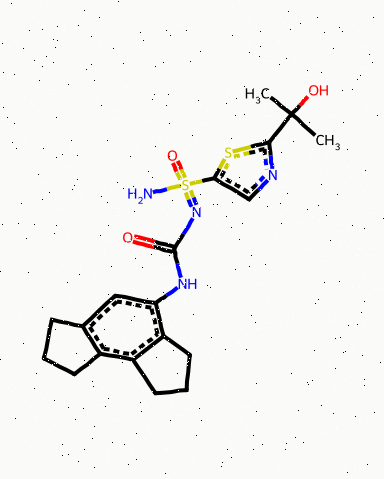 CC(C)(O)c1ncc(S(N)(=O)=NC(=O)Nc2cc3c(c4c2CCC4)CCC3)s1